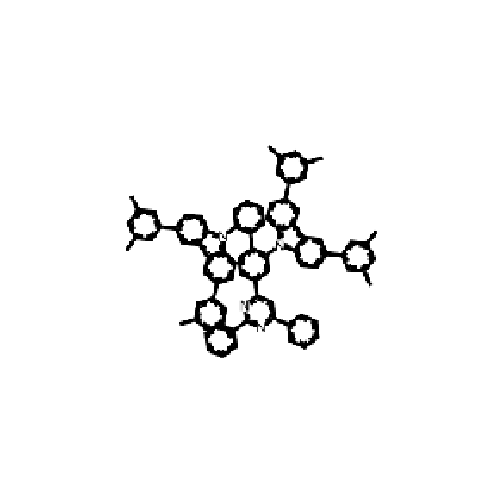 Cc1cc(C)cc(-c2ccc3c(c2)c2cc(-c4cc(C)cc(C)c4)ccc2n3-c2ccccc2-c2ccc(-c3cc(-c4ccccc4)nc(-c4ccccc4)n3)cc2-n2c3ccc(-c4cc(C)cc(C)c4)cc3c3cc(-c4cc(C)cc(C)c4)ccc32)c1